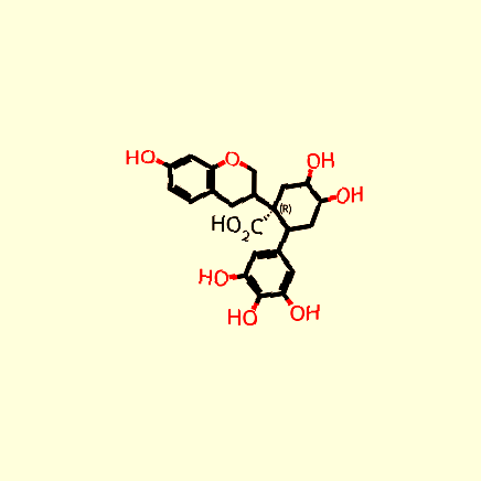 O=C(O)[C@]1(C2COc3cc(O)ccc3C2)CC(O)C(O)CC1c1cc(O)c(O)c(O)c1